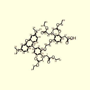 CCOC(=O)CN(CC(=O)OCC)c1ccc(-c2c3ccc(=[N+](C)C)cc-3oc3cc(N(C)C)ccc23)cc1OCCOc1ccc(CC(=O)O)cc1N(CC(=O)OCC)CC(=O)OCC